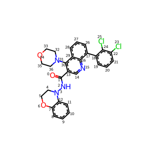 O=C(NN1CCOc2ccccc21)c1cnc2c(-c3cccc(Cl)c3Cl)cccc2c1N1CCOCC1